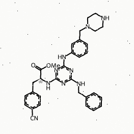 COC(=O)[C@H](Cc1ccc(C#N)cc1)Nc1nc(NCc2ccccc2)nc(Nc2cccc(CN3CCNCC3)c2)n1